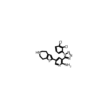 Nc1ncc(-c2cc3c(s2)CCNCC3)cc1-c1nnnn1-c1cccc(Cl)c1Cl